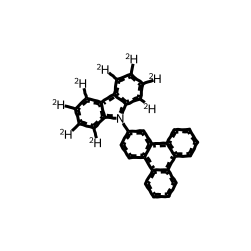 [2H]c1c([2H])c([2H])c2c(c1[2H])c1c([2H])c([2H])c([2H])c([2H])c1n2-c1ccc2c3ccccc3c3ccccc3c2c1